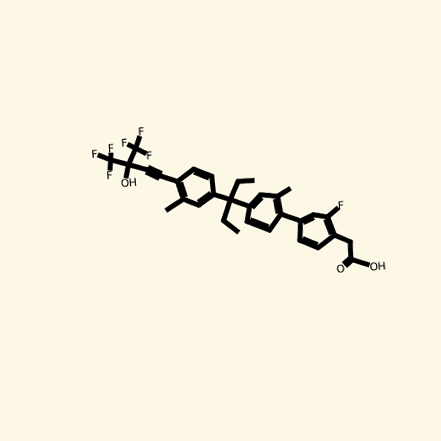 CCC(CC)(c1ccc(C#CC(O)(C(F)(F)F)C(F)(F)F)c(C)c1)c1ccc(-c2ccc(CC(=O)O)c(F)c2)c(C)c1